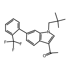 CC(=O)c1cn(CC(C)(C)C)c2cc(-c3ccccc3C(F)(F)F)ccc12